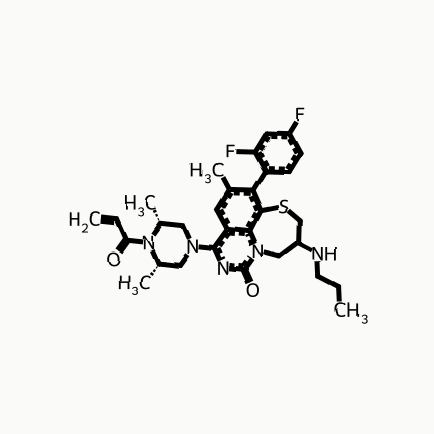 C=CC(=O)N1[C@H](C)CN(c2nc(=O)n3c4c(c(-c5ccc(F)cc5F)c(C)cc24)SCC(NCCC)C3)C[C@@H]1C